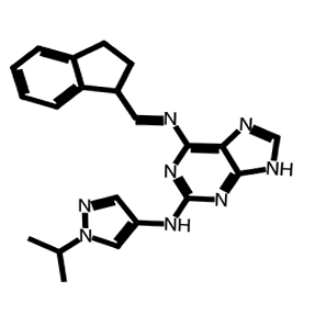 CC(C)n1cc(Nc2nc(/N=C/C3CCc4ccccc43)c3nc[nH]c3n2)cn1